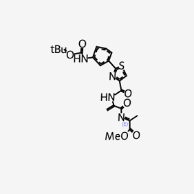 C=C(NC(=O)c1csc(-c2cccc(NC(=O)OC(C)(C)C)c2)n1)C(=O)/N=C(\C)C(=O)OC